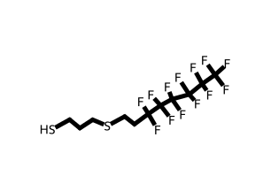 FC(F)(F)C(F)(F)C(F)(F)C(F)(F)C(F)(F)C(F)(F)CCSCCCS